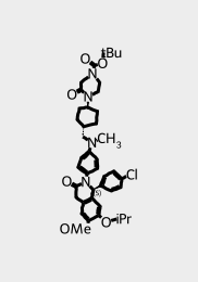 COc1cc2c(cc1OC(C)C)[C@H](c1ccc(Cl)cc1)N(c1ccc(N(C)C[C@H]3CC[C@H](N4CCN(C(=O)OC(C)(C)C)CC4=O)CC3)cc1)C(=O)C2